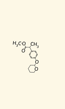 COC(=O)C(C)c1ccc(OC2CCCCO2)cc1